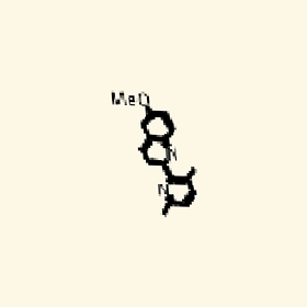 COc1ccc2nc(-c3nc(C)ccc3C)ccc2c1